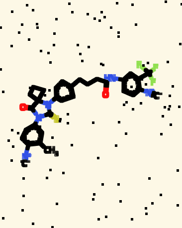 [C-]#[N+]c1ccc(N2C(=O)C3(CCC3)N(c3ccc(CCCC(=O)Nc4ccc([N+]#[C-])c(C(F)(F)F)c4)cc3)C2=S)cc1C